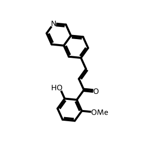 COc1cccc(O)c1C(=O)C=Cc1ccc2cnccc2c1